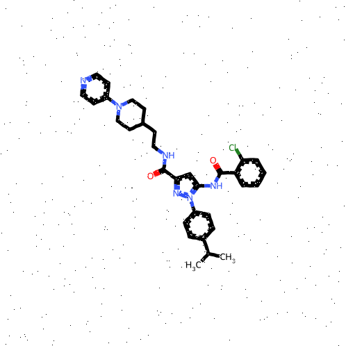 CC(C)c1ccc(-n2nc(C(=O)NCCC3CCN(c4ccncc4)CC3)cc2NC(=O)c2ccccc2Cl)cc1